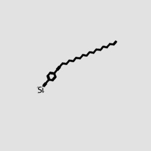 C=CCCCCCCCCCCCCCCCC#Cc1ccc(C#C[Si](C)(C)C)cc1